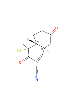 CC1(S)C(=O)C(C#N)=C[C@]2(C)CC(=O)CC[C@@H]12